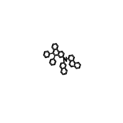 c1ccc(-c2c(-c3ccccc3)c3cc(N(c4ccc5ccccc5c4)c4cccc5c4ccc4ccccc45)ccc3c3ccccc23)cc1